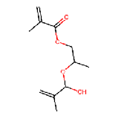 C=C(C)C(=O)OCC(C)OC(O)C(=C)C